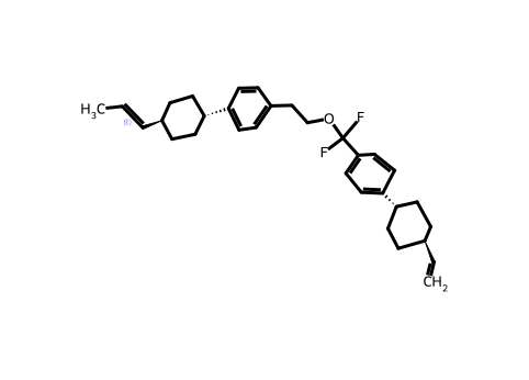 C=C[C@H]1CC[C@H](c2ccc(C(F)(F)OCCc3ccc([C@H]4CC[C@H](/C=C/C)CC4)cc3)cc2)CC1